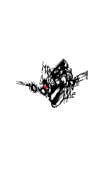 C=CC(=O)Nc1cc(Nc2ncc(Cl)c(O[C@@H]3CO[C@H]4[C@@H]3OC[C@H]4O)n2)c(OC)cc1N1CCC(N2CCN(C)CC2)CC1